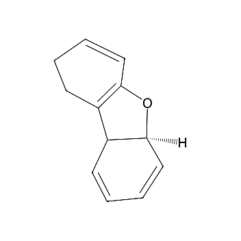 C1=CC2C3=C(C=CCC3)O[C@H]2C=C1